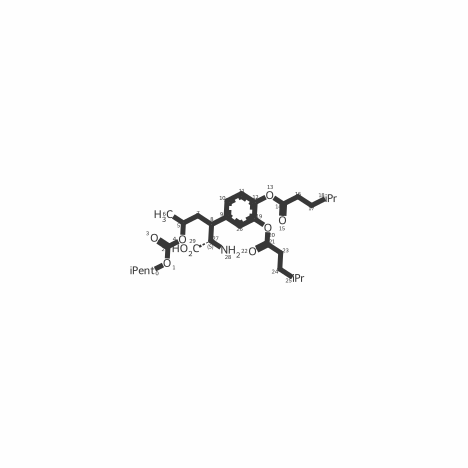 CCCC(C)OC(=O)OC(C)CC(c1ccc(OC(=O)CCC(C)C)c(OC(=O)CCC(C)C)c1)[C@H](N)C(=O)O